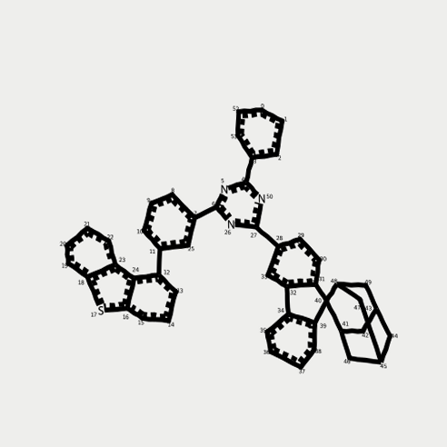 c1ccc(-c2nc(-c3cccc(-c4cccc5sc6ccccc6c45)c3)nc(-c3ccc4c(c3)-c3ccccc3C43C4CC5CC(C4)CC3C5)n2)cc1